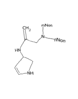 C=C(CN(CCCCCCCCC)CCCCCCCCC)NC1C=CNC1